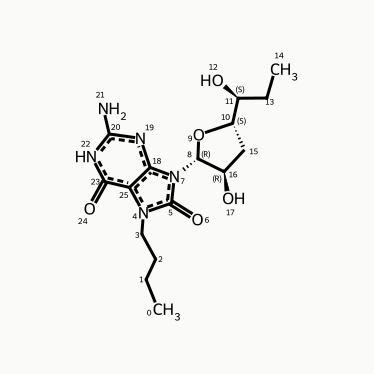 CCCCn1c(=O)n([C@@H]2O[C@H]([C@@H](O)CC)C[C@H]2O)c2nc(N)[nH]c(=O)c21